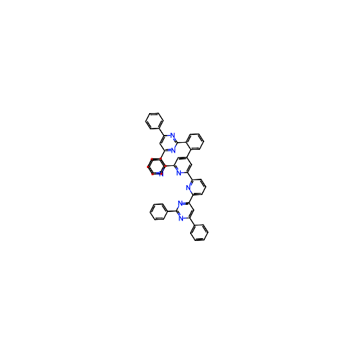 c1ccc(-c2cc(-c3cccc(-c4cc(-c5ccccc5-c5nc(-c6ccccc6)cc(-c6ccccc6)n5)cc(-c5ccccn5)n4)n3)nc(-c3ccccc3)n2)cc1